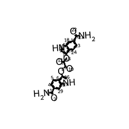 NC(=O)c1ccc2c(OC(=O)C(=O)Oc3c[nH]c4cc(C(N)=O)ccc34)c[nH]c2c1